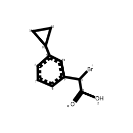 O=C(O)C(Br)c1cccc(C2CC2)c1